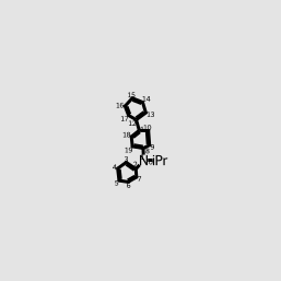 CC(C)N(c1ccccc1)c1ccc(-c2ccccc2)cc1